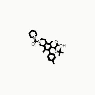 Cc1ccc(-c2c(C)c3c(c(C)c2C(OC(C)(C)C)C(=O)O)CCN(C(=O)N2CCCCC2)C3)cc1